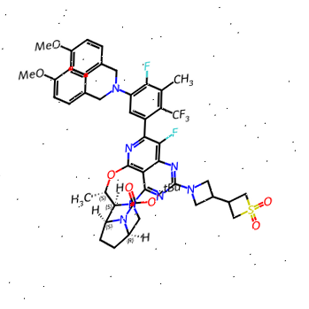 COc1ccc(CN(Cc2ccc(OC)cc2)c2cc(-c3nc4c5c(nc(N6CC(C7CS(=O)(=O)C7)C6)nc5c3F)N3C[C@H]5CC[C@@H]([C@H]3[C@H](C)O4)N5C(=O)OC(C)(C)C)c(C(F)(F)F)c(C)c2F)cc1